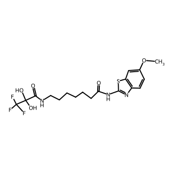 COc1ccc2nc(NC(=O)CCCCCCNC(=O)C(O)(O)C(F)(F)F)sc2c1